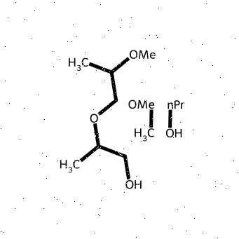 CCCO.COC.COC(C)COC(C)CO